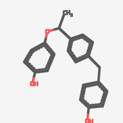 CC(Oc1ccc(O)cc1)c1ccc(Cc2ccc(O)cc2)cc1